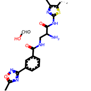 Cc1nc(-c2cccc(C(=O)NCC(N)C(=O)Nc3nc(C)c(C(=O)O)s3)c2)no1.O=CO